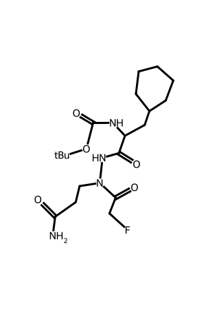 CC(C)(C)OC(=O)NC(CC1CCCCC1)C(=O)NN(CCC(N)=O)C(=O)CF